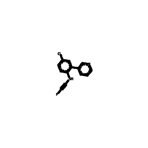 FC#CNc1ccc(Cl)cc1-c1cccnc1